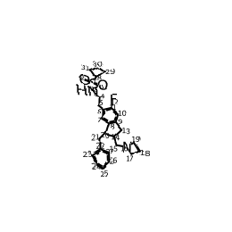 O=S(=O)(NCCc1cc2c(cc1F)CC(CN1CCC1)C2Cc1ccccc1)C1CCC1